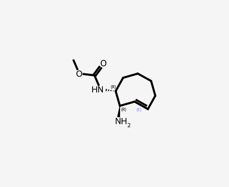 COC(=O)N[C@@H]1CCCC/C=C/[C@H]1N